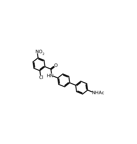 CC(=O)Nc1ccc(-c2ccc(NC(=O)c3cc([N+](=O)[O-])ccc3Cl)cc2)cc1